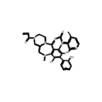 C=CC(=O)N1CCN2c3nc(=O)n(-c4c(C)ccnc4C(C)C)c4c(F)c(-c5ccccc5O)c(Cl)c(c34)N(C)CC2C1